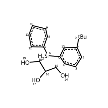 CC(C)(C)c1cccc([SiH2]c2ccccc2)c1.OCC(O)CO